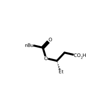 CCCCC(=O)O[C@@H](CC)CC(=O)O